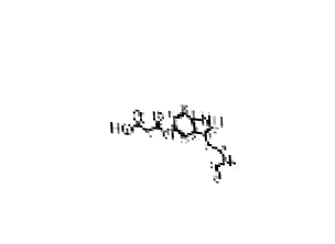 CCN(C)CCc1c[nH]c2ccc(OC(=O)CC(=O)O)cc12